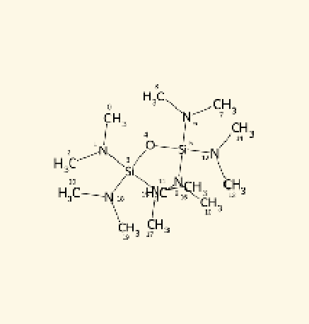 CN(C)[Si](O[Si](N(C)C)(N(C)C)N(C)C)(N(C)C)N(C)C